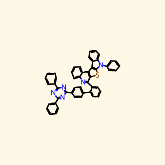 c1ccc(-c2nc(-c3ccccc3)nc(-c3ccc(-c4ccccc4-c4nc5ccccc5c5c4sc4c5c5ccccc5n4-c4ccccc4)cc3)n2)cc1